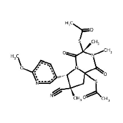 COc1ccc([C@@H]2N3C(=O)[C@](C)(SC(C)=O)N(C)C(=O)C3(SC(C)=O)C[C@]2(C)C#N)cn1